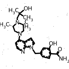 C[C@@H]1CN(c2ccnc3c2ccn3Cc2ccc(C(N)=O)c(O)c2)C[C@H](C)N1CC(C)(C)O